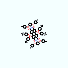 Cc1ccc(Oc2cccc(Oc3ccc(C)cc3)c2N2C(=O)c3cc(Oc4ccc(C(C)(C)C)cc4)c4c5c(Oc6ccc(C(C)(C)C)cc6)cc6c7c(cc(Oc8ccc(C(C)(C)C)cc8)c(c8c(Oc9ccc(C(C)(C)C)cc9)cc(c3c48)C2=O)c75)C(=O)N(c2c(Oc3ccc(C)cc3)cccc2Oc2ccc(C)cc2)C6=O)cc1